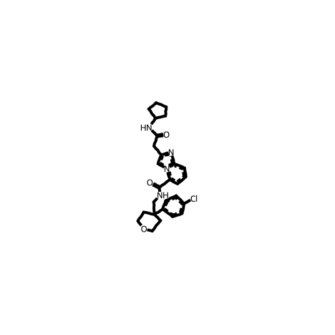 O=C(Cc1cn2c(C(=O)NCC3(c4ccc(Cl)cc4)CCOCC3)cccc2n1)NC1CCCC1